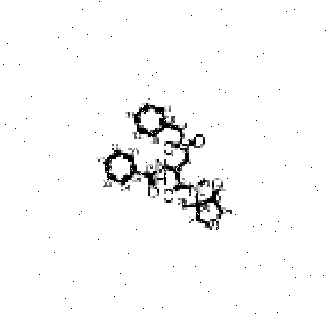 CN(C(=O)C(CS(=O)(=O)Cc1ccccc1)NC(=O)c1ccccc1)C1(C)COCC1=O